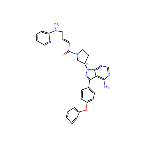 CN(CC=CC(=O)N1CC[C@@H](n2nc(-c3ccc(Oc4ccccc4)cc3)c3c(N)ncnc32)C1)c1ccccn1